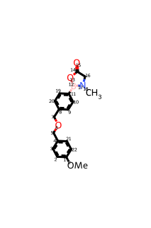 COc1ccc(COCc2ccc(B3OC(=O)CN3C)cc2)cc1